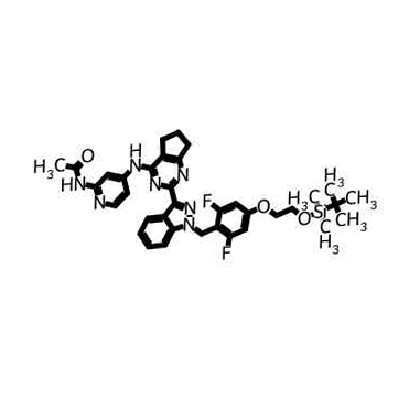 CC(=O)Nc1cc(Nc2nc(-c3nn(Cc4c(F)cc(OCCO[Si](C)(C)C(C)(C)C)cc4F)c4ccccc34)nc3c2CCC3)ccn1